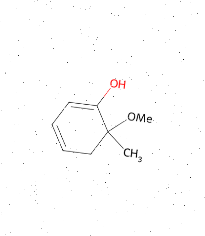 COC1(C)CC=CC=C1O